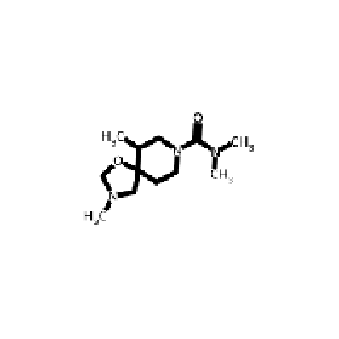 CC1CN(C(=O)N(C)C)CCC12CN(C)CO2